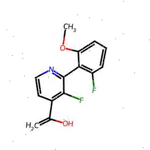 C=C(O)c1ccnc(-c2c(F)cccc2OC)c1F